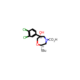 CC(C)(C)[C@H]1CN(C(=O)O)C[C@](O)(c2ccc(Cl)c(Cl)c2)CO1